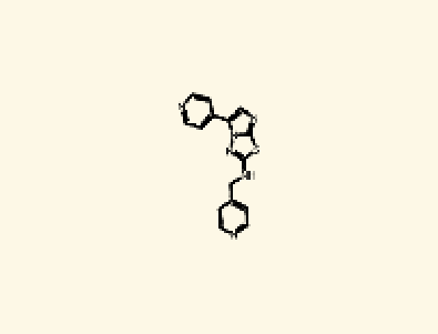 c1cc(CNc2nn3c(-c4ccncc4)cnc3s2)ccn1